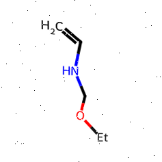 C=CNCOCC